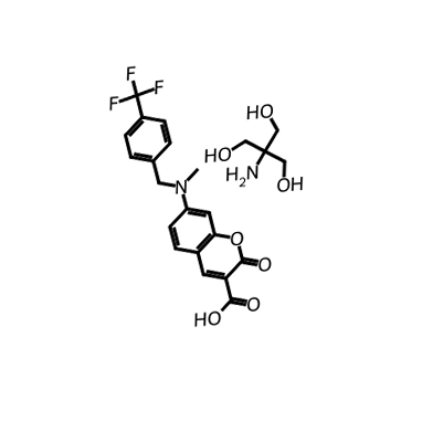 CN(Cc1ccc(C(F)(F)F)cc1)c1ccc2cc(C(=O)O)c(=O)oc2c1.NC(CO)(CO)CO